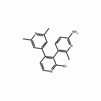 CCc1nccc(-c2cc(C)nc(C)c2)c1-c1ccc(N)nc1C